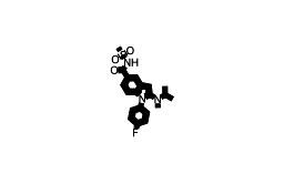 CC(C)N(C)c1cc2cc(C(=O)NS(C)(=O)=O)ccc2n1-c1ccc(F)cc1